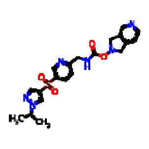 CC(C)n1cc(S(=O)(=O)c2ccc(CNC(=O)ON3Cc4ccncc4C3)nc2)cn1